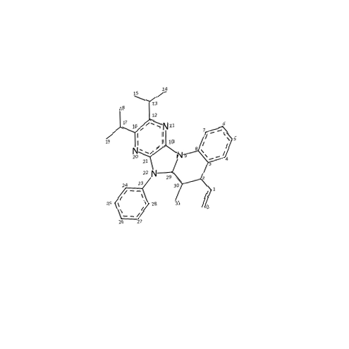 C=CC1c2ccccc2N2c3nc(C(C)C)c(C(C)C)nc3N(c3ccccc3)C2C1C